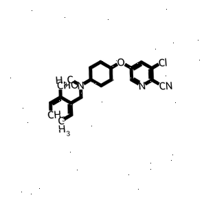 C/C=C(C=O)\C(=C/C)CN(C)C1CCC(Oc2cnc(C#N)c(Cl)c2)CC1